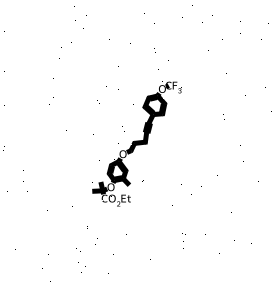 CCOC(=O)C(C)(C)Oc1ccc(OCCCC#Cc2ccc(OC(F)(F)F)cc2)cc1C